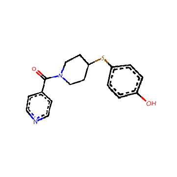 O=C(c1ccncc1)N1CCC(Sc2ccc(O)cc2)CC1